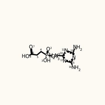 CP(=O)(O)CCC(=O)O.Nc1nc(N)nc(N)n1